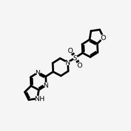 O=S(=O)(c1ccc2c(c1)CCO2)N1CCC(c2ncc3cc[nH]c3n2)CC1